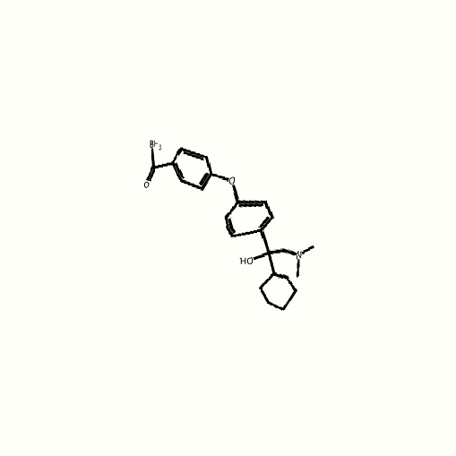 BC(=O)c1ccc(Oc2ccc(C(O)(CN(C)C)C3CCCCC3)cc2)cc1